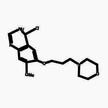 COc1cc2c(cc1OCCCN1CCOCC1)C(Cl)NC=N2